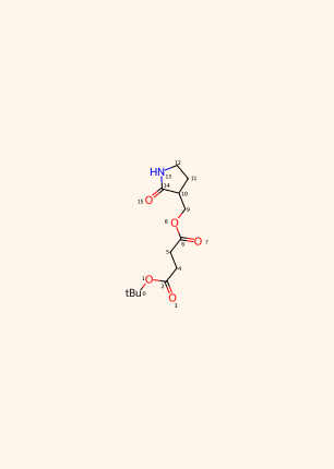 CC(C)(C)OC(=O)CCC(=O)OCC1CCNC1=O